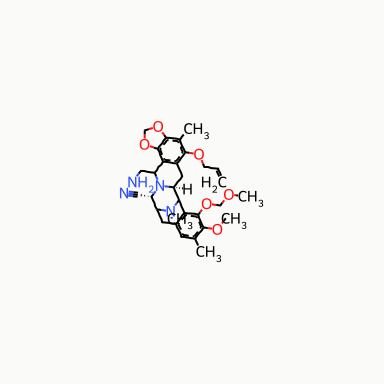 C=CCOc1c(C)c2c(c3c1C[C@H]1C4c5c(cc(C)c(OC)c5OCOC)CC([C@H](C#N)N1C3CN)N4C)OCO2